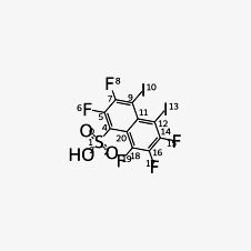 O=S(=O)(O)c1c(F)c(F)c(I)c2c(I)c(F)c(F)c(F)c12